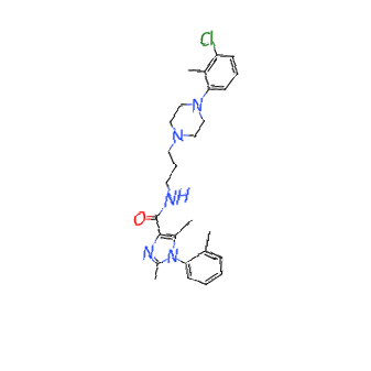 Cc1ccccc1-n1c(C)nc(C(=O)NCCCN2CCN(c3cccc(Cl)c3C)CC2)c1C